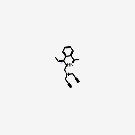 C#CCN(CC#C)CC/C(=C/C)c1ccccc1C(C)=N